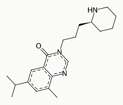 Cc1cc(C(C)C)cc2c(=O)n(CCC[C@@H]3CCCCN3)cnc12